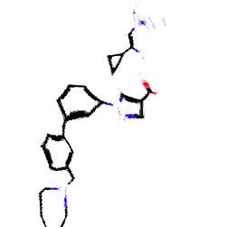 CN(N)/C=C(\N)C1C[C@H]1c1c(C(=O)O)cnn1-c1cccc(-c2cccc(CN3CCCCC3)c2)c1